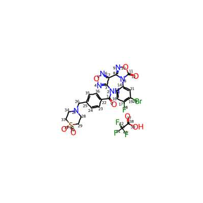 O=C(Nc1nonc1-c1noc(=O)n1-c1ccc(F)c(Br)c1)c1ccc(CN2CCS(=O)(=O)CC2)cc1.O=C(O)C(F)(F)F